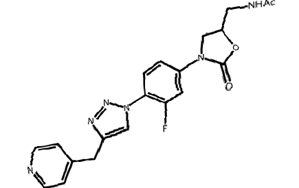 CC(=O)NCC1CN(c2ccc(-n3cc(Cc4ccncc4)nn3)c(F)c2)C(=O)O1